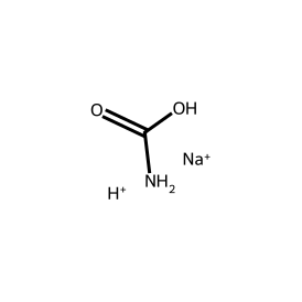 NC(=O)O.[H+].[Na+]